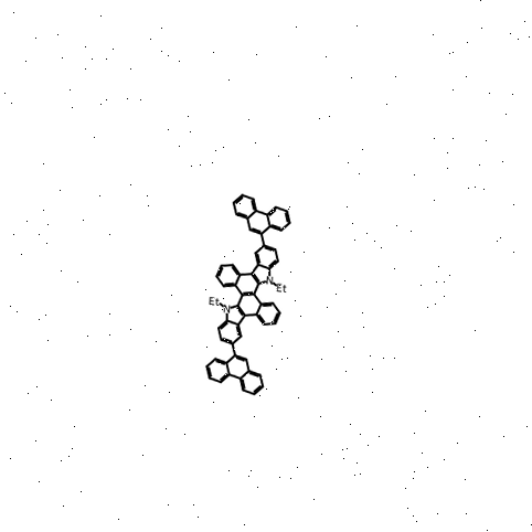 CCn1c2ccc(-c3cc4ccccc4c4ccccc34)cc2c2c3ccccc3c3c(c4ccccc4c4c5cc(-c6cc7ccccc7c7ccccc67)ccc5n(CC)c43)c21